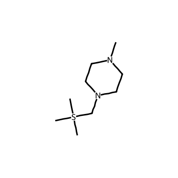 CN1CCN(CS(C)(C)C)CC1